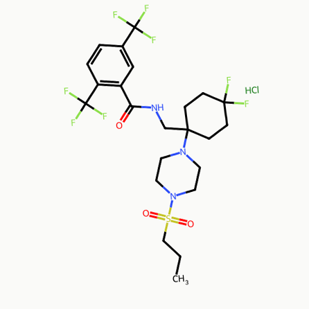 CCCS(=O)(=O)N1CCN(C2(CNC(=O)c3cc(C(F)(F)F)ccc3C(F)(F)F)CCC(F)(F)CC2)CC1.Cl